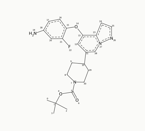 CC(C)(C)OC(=O)N1CCC(c2cc(Oc3ccc(N)cc3F)c3ccnn3c2)CC1